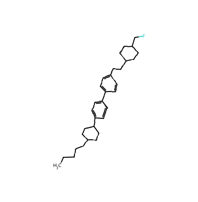 CCCCCC1CCC(c2ccc(-c3ccc(CCC4CCC(CF)CC4)cc3)cc2)CC1